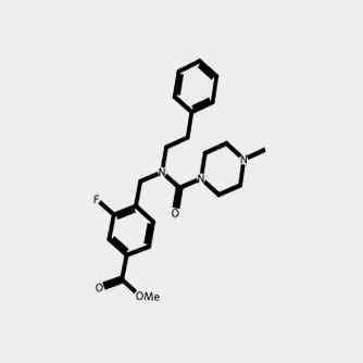 COC(=O)c1ccc(CN(CCc2ccccc2)C(=O)N2CCN(C)CC2)c(F)c1